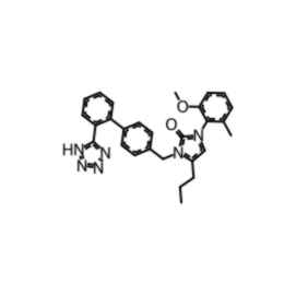 CCCc1cn(-c2c(C)cccc2OC)c(=O)n1Cc1ccc(-c2ccccc2-c2nnn[nH]2)cc1